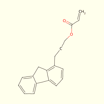 C=CC(=O)OCCCc1cccc2c1Cc1ccccc1-2